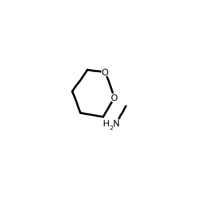 C1CCOOC1.CN